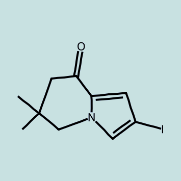 CC1(C)CC(=O)c2cc(I)cn2C1